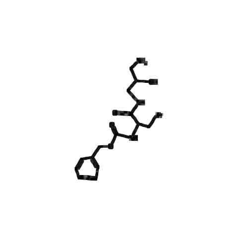 CC(C)CC(NC(=O)OCc1ccccc1)C(=O)NCC(O)CN